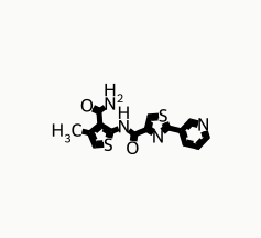 Cc1csc(NC(=O)c2csc(-c3cccnc3)n2)c1C(N)=O